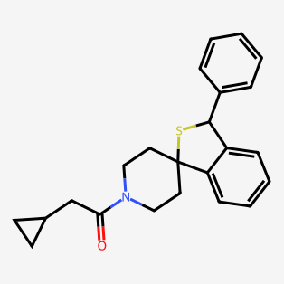 O=C(CC1CC1)N1CCC2(CC1)SC(c1ccccc1)c1ccccc12